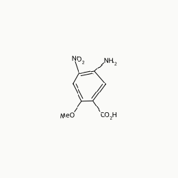 COc1cc([N+](=O)[O-])c(N)cc1C(=O)O